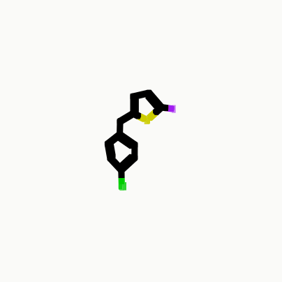 Clc1ccc(Cc2ccc(I)s2)cc1